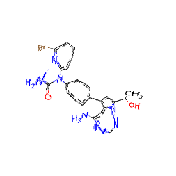 CC(O)c1cc(-c2ccc(N(C(N)=O)c3cccc(Br)n3)cc2)c2c(N)ncnn12